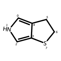 c1[nH]cc2c1CCS2